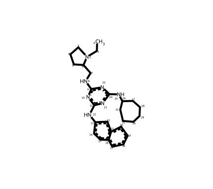 CCN1CCCC1CNc1nc(Nc2ccc3ccccc3c2)nc(NC2CCCCCC2)n1